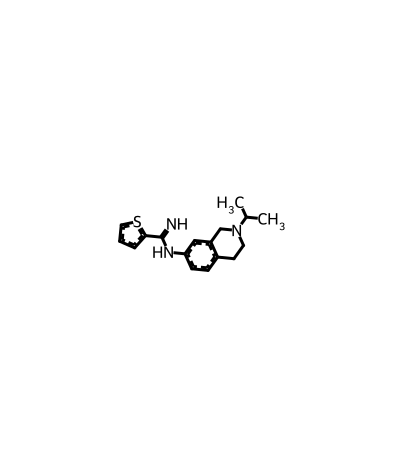 CC(C)N1CCc2ccc(NC(=N)c3cccs3)cc2C1